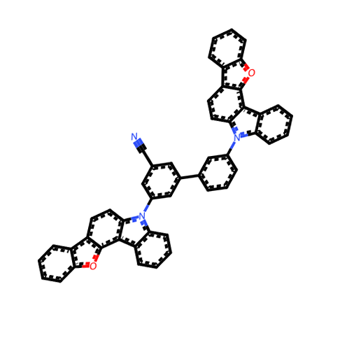 N#Cc1cc(-c2cccc(-n3c4ccccc4c4c5oc6ccccc6c5ccc43)c2)cc(-n2c3ccccc3c3c4oc5ccccc5c4ccc32)c1